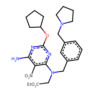 CCOC(=O)CN(Cc1cccc(CN2CCCC2)c1)c1nc(OC2CCCC2)nc(N)c1[N+](=O)[O-]